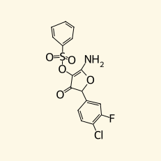 NC1=C(OS(=O)(=O)c2ccccc2)C(=O)C(c2ccc(Cl)c(F)c2)O1